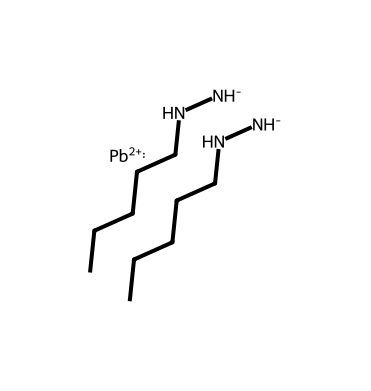 CCCCCN[NH-].CCCCCN[NH-].[Pb+2]